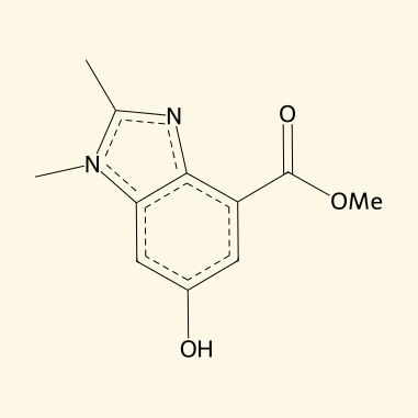 COC(=O)c1cc(O)cc2c1nc(C)n2C